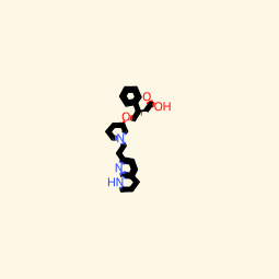 O=C(O)C[C@@H](CO[C@@H]1CCCN(CCc2ccc3c(n2)NCCC3)C1)c1ccccc1